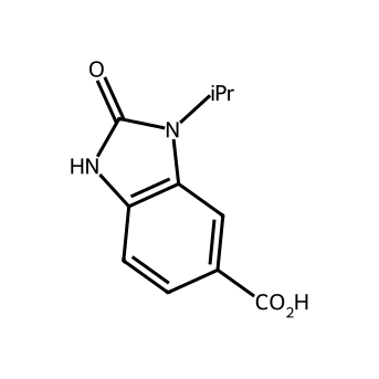 CC(C)n1c(=O)[nH]c2ccc(C(=O)O)cc21